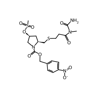 CN(C(N)=O)C(=O)CCSC[C@@H]1C[C@H](OS(C)(=O)=O)CN1C(=O)OCc1ccc([N+](=O)[O-])cc1